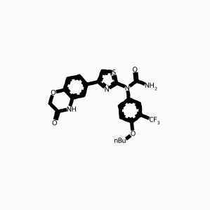 CCCCOc1ccc(N(C(N)=O)c2nc(-c3ccc4c(c3)NC(=O)CO4)cs2)cc1C(F)(F)F